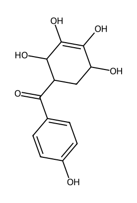 O=C(c1ccc(O)cc1)C1CC(O)C(O)=C(O)C1O